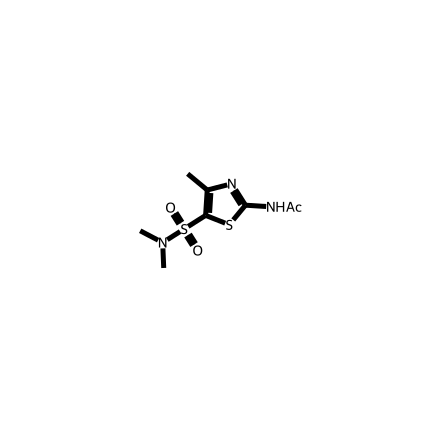 CC(=O)Nc1nc(C)c(S(=O)(=O)N(C)C)s1